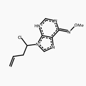 C=CCC(Cl)n1cnc2/c(=N/OC)nc[nH]c21